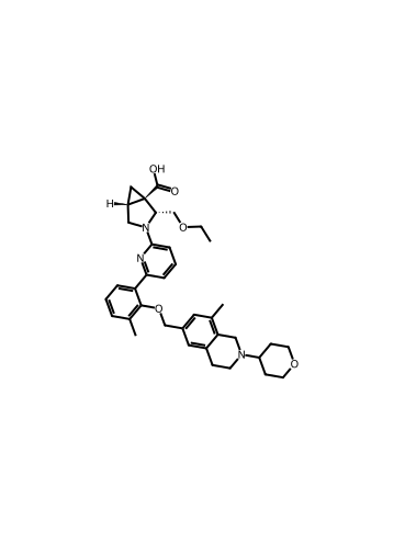 CCOC[C@@H]1N(c2cccc(-c3cccc(C)c3OCc3cc(C)c4c(c3)CCN(C3CCOCC3)C4)n2)C[C@@H]2C[C@@]21C(=O)O